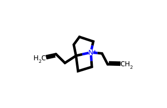 C=CCC12CCC[N+]1(CC=C)CC2